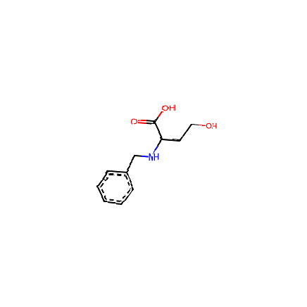 O=C(O)C(CCO)NCc1ccccc1